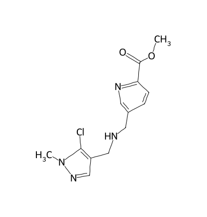 COC(=O)c1ccc(CNCc2cnn(C)c2Cl)cn1